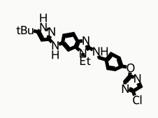 CCn1c(NCc2ccc(Oc3cnc(Cl)cn3)cc2)nc2ccc(Nc3cc(C(C)(C)C)[nH]n3)cc21